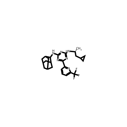 C[C@H](CC1CC1)Nc1nc(NC2C3CC4CC(C3)CC2C4)nc(-c2cccc(C(F)(F)F)n2)n1